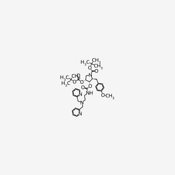 COc1ccc(C[C@H]2[C@H](OC(=O)NCCN(Cc3ccccn3)Cc3ccccn3)[C@H](OC(=O)OC(C)(C)C)CN2C(=O)OC(C)(C)C)cc1